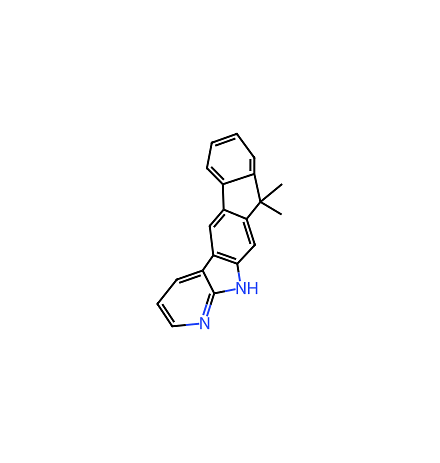 CC1(C)c2ccccc2-c2cc3c(cc21)[nH]c1ncccc13